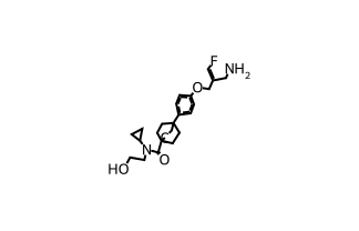 NCC(=CF)COc1ccc(C23CCC(C(=O)N(CCO)C4CC4)(CC2)CC3)cc1